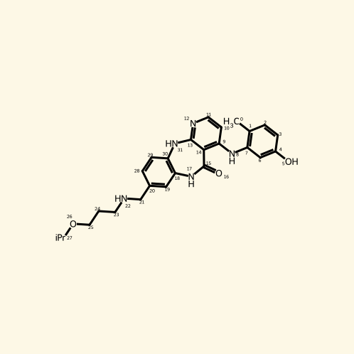 Cc1ccc(O)cc1Nc1ccnc2c1C(=O)Nc1cc(CNCCCOC(C)C)ccc1N2